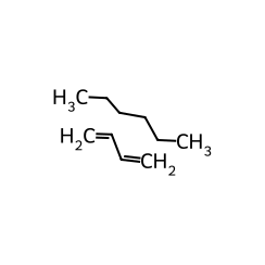 C=CC=C.CCCCCC